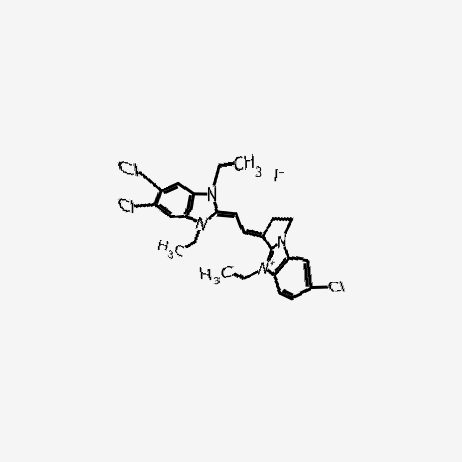 CCN1C(=CC=C2CCn3c2[n+](CC)c2ccc(Cl)cc23)N(CC)c2cc(Cl)c(Cl)cc21.[I-]